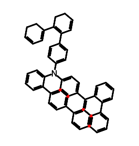 C1=CCCC(C2=C(c3ccc(N(c4ccc(-c5cc6ccccc6c6ccccc56)cc4)c4ccccc4-c4ccc(-c5ccccc5)cc4)cc3)C=CCC2)=C1